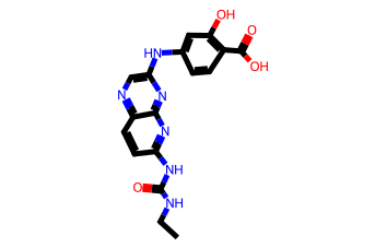 CCNC(=O)Nc1ccc2ncc(Nc3ccc(C(=O)O)c(O)c3)nc2n1